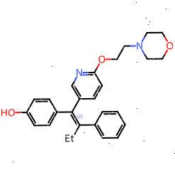 CC/C(=C(\c1ccc(O)cc1)c1ccc(OCCN2CCOCC2)nc1)c1ccccc1